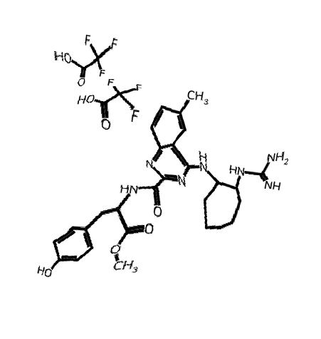 COC(=O)C(Cc1ccc(O)cc1)NC(=O)c1nc(NC2CCCCC2NC(=N)N)c2cc(C)ccc2n1.O=C(O)C(F)(F)F.O=C(O)C(F)(F)F